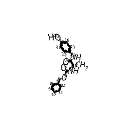 C[C@H](NC(=O)OCc1ccccc1)C(=O)Nc1ccc(O)cc1